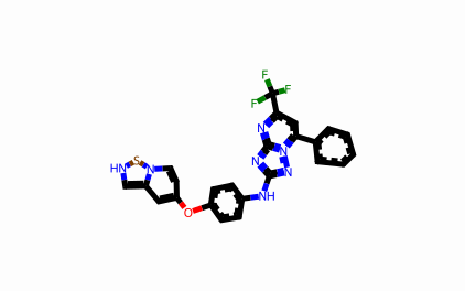 FC(F)(F)c1cc(-c2ccccc2)n2nc(Nc3ccc(OC4=CC5=CNSN5C=C4)cc3)nc2n1